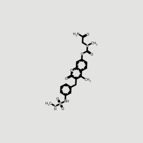 CNS(=O)(=O)Nc1cccc(Cc2c(C)c3ccc(OC(=O)N(C)CC(N)=O)cc3oc2=O)c1